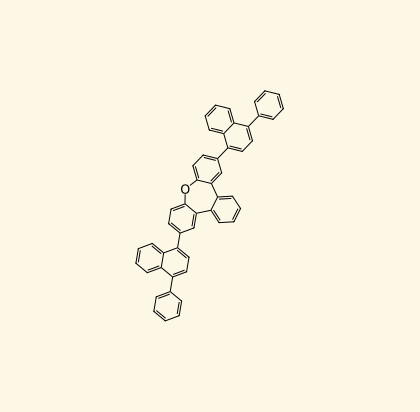 c1ccc(-c2ccc(-c3ccc4c(c3)-c3ccccc3-c3cc(-c5ccc(-c6ccccc6)c6ccccc56)ccc3O4)c3ccccc23)cc1